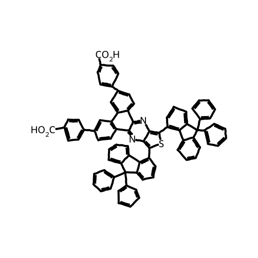 O=C(O)c1ccc(-c2ccc3c(c2)c2cc(-c4ccc(C(=O)O)cc4)ccc2c2nc4c(-c5cccc6c5-c5ccccc5C6(c5ccccc5)c5ccccc5)sc(-c5cccc6c5-c5ccccc5C6(c5ccccc5)c5ccccc5)c4nc32)cc1